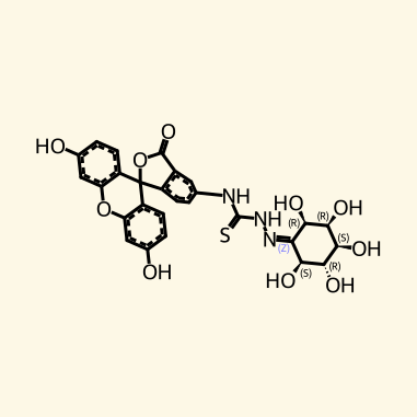 O=C1OC2(c3ccc(O)cc3Oc3cc(O)ccc32)c2ccc(NC(=S)N/N=C3\[C@@H](O)[C@@H](O)[C@@H](O)[C@H](O)[C@H]3O)cc21